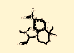 CN(C)C(C=O)N1CCCC(C)(C)c2ccc([N+](=O)[O-])cc21